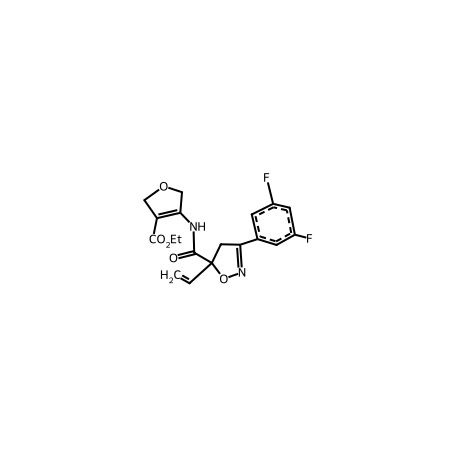 C=CC1(C(=O)NC2=C(C(=O)OCC)COC2)CC(c2cc(F)cc(F)c2)=NO1